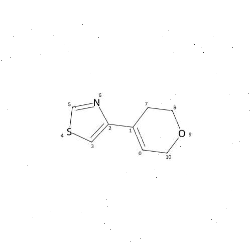 C1=C(c2cscn2)CCOC1